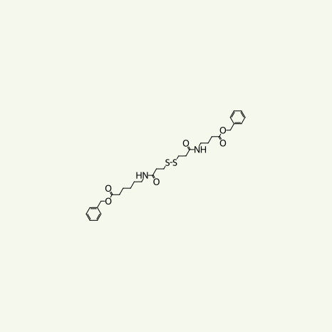 O=C(CCSSCCC(=O)NCCCC(=O)OCc1ccccc1)NCCCCCC(=O)OCc1ccccc1